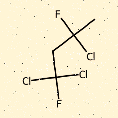 CC(F)(Cl)CC(F)(Cl)Cl